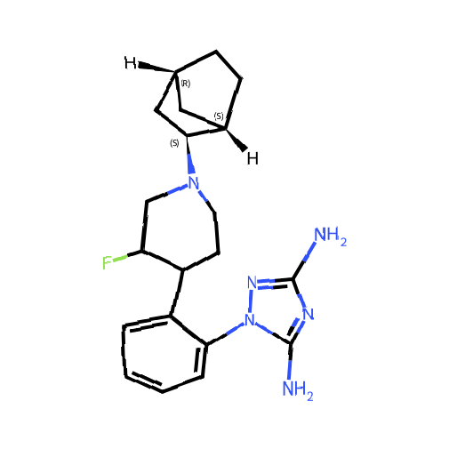 Nc1nc(N)n(-c2ccccc2C2CCN([C@H]3C[C@@H]4CC[C@H]3C4)CC2F)n1